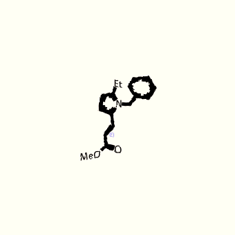 CCc1ccc(/C=C/C(=O)OC)n1Cc1ccccc1